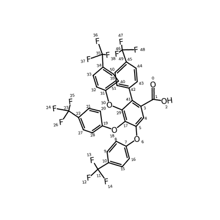 O=C(O)c1cc(Oc2ccc(C(F)(F)F)cc2)c(Oc2ccc(C(F)(F)F)cc2)c(Oc2ccc(C(F)(F)F)cc2)c1-c1ccc(C(F)(F)F)cc1